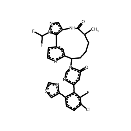 CC1CCCC(n2cnc(-c3c(-c4cscn4)ccc(Cl)c3F)cc2=O)c2cc(ccn2)-c2c(cnn2C(F)F)NC1=O